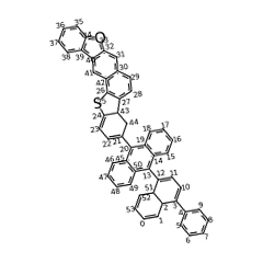 C1=CC2C(c3ccccc3)=CC=C(c3c4ccccc4c(C4=CC=C5Sc6c(ccc7cc8oc9ccccc9c8cc67)C5C4)c4ccccc34)C2C=C1